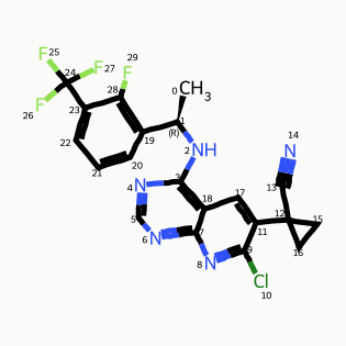 C[C@@H](Nc1ncnc2nc(Cl)c(C3(C#N)CC3)cc12)c1cccc(C(F)(F)F)c1F